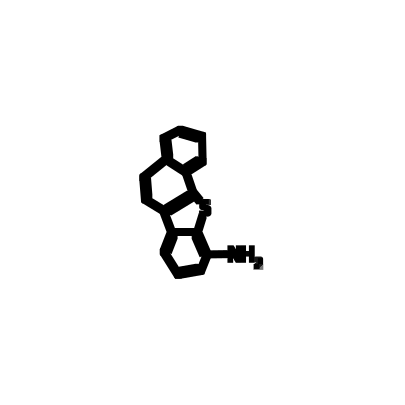 Nc1cccc2c1sc1c3ccccc3ccc21